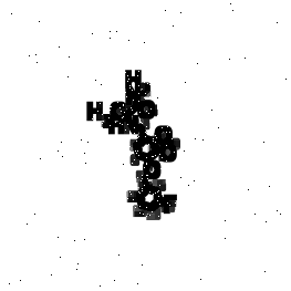 CC(NCc1ccc(OCc2cccc(F)c2)c2c1OCO2)C(N)=O